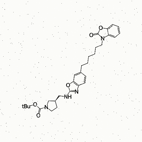 CC(C)(C)OC(=O)N1CC[C@H](CNc2nc3ccc(CCCCCCn4c(=O)oc5ccccc54)cc3o2)C1